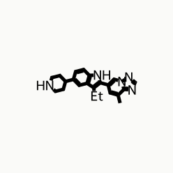 CCc1c(-c2cc(C)c3ncnn3c2)[nH]c2ccc(C3CCNCC3)cc12